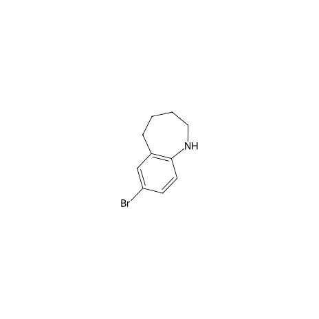 Brc1ccc2c(c1)CCCCN2